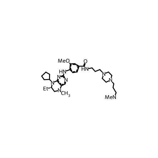 CC[C@@H]1CN(C)c2cnc(Nc3ccc(C(=O)NCCCN4CCN(CCCNC)CC4)cc3OC)nc2N1C1CCCC1